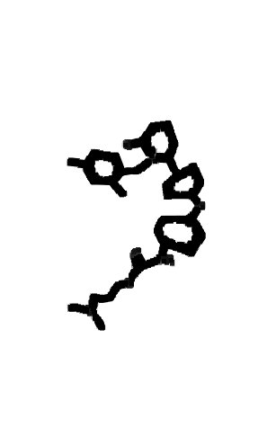 Cc1ccc(Cn2c(-c3ccc(Oc4ccc(NC(=O)OCCCN(C)C)cc4)cc3)cccc2=O)c(C)c1